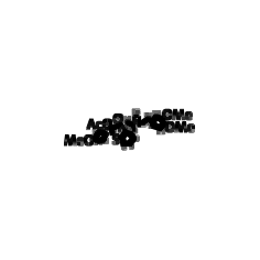 COc1ccc([C@H]2Sc3ccccc3N(C[C@H](C)N(C)CCc3ccc(OC)c(OC)c3)C(=O)[C@H]2OC(C)=O)cc1